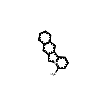 O=C(O)c1cccc2c3cc4ccccc4cc3cn12